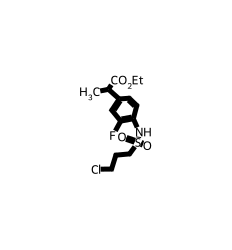 CCOC(=O)C(C)c1ccc(NS(=O)(=O)CCCCl)c(F)c1